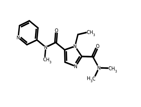 CCn1c(C(=O)N(C)c2cccnc2)cnc1C(=O)N(C)C